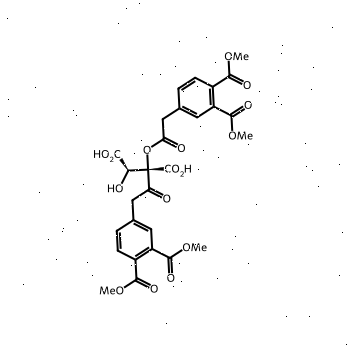 COC(=O)c1ccc(CC(=O)O[C@](C(=O)O)(C(=O)Cc2ccc(C(=O)OC)c(C(=O)OC)c2)[C@@H](O)C(=O)O)cc1C(=O)OC